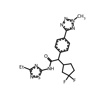 CCc1nsc(NC(=O)C(c2ccc(-c3nnn(C)n3)cc2)C2CCC(F)(F)C2)n1